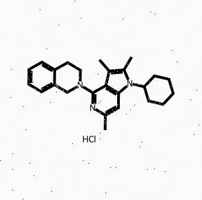 Cc1cc2c(c(N3CCc4ccccc4C3)n1)c(C)c(C)n2C1CCCCC1.Cl